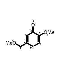 COCc1cc(=O)c(OC)cs1